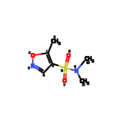 Cc1oncc1S(=O)(=O)N(C)C